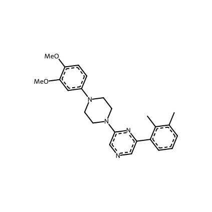 COc1ccc(N2CCN(c3cncc(-c4cccc(C)c4C)n3)CC2)cc1OC